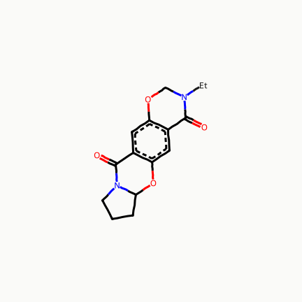 CCN1COc2cc3c(cc2C1=O)OC1CCCN1C3=O